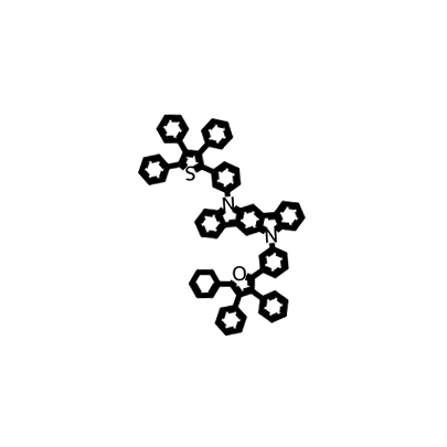 C1=CCCC(c2oc(-c3cccc(-n4c5ccccc5c5cc6c(cc54)c4ccccc4n6-c4cccc(-c5sc(-c6ccccc6)c(-c6ccccc6)c5-c5ccccc5)c4)c3)c(-c3ccccc3)c2-c2ccccc2)=C1